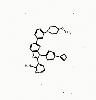 COC1CCN(c2cccc(-c3ccc4nc(-c5cccnc5N)n(-c5ccc(C6=CCC6)cc5)c4n3)c2)CC1